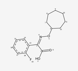 O=C(O)C(=NOC1CCCCCC1)c1ccccc1F